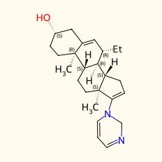 CC[C@H]1C=C2C[C@@H](O)CC[C@]2(C)[C@H]2CC[C@]3(C)C(N4C=CC=NC4)=CC[C@H]3[C@H]12